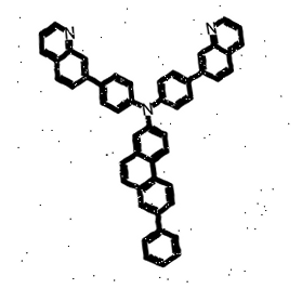 c1ccc(-c2ccc3c(ccc4cc(N(c5ccc(-c6ccc7cccnc7c6)cc5)c5ccc(-c6ccc7cccnc7c6)cc5)ccc43)c2)cc1